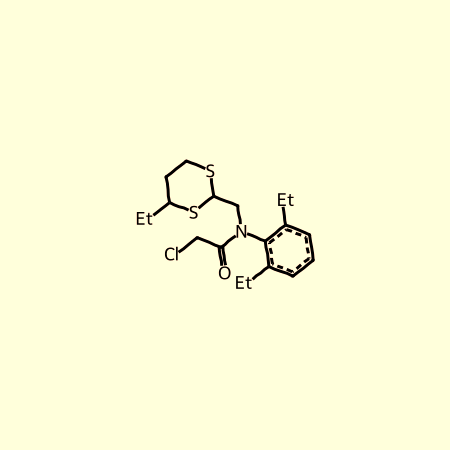 CCc1cccc(CC)c1N(CC1SCCC(CC)S1)C(=O)CCl